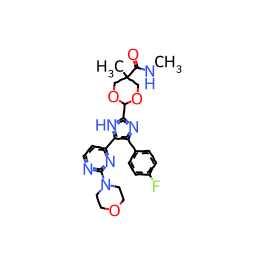 CNC(=O)C1(C)COC(c2nc(-c3ccc(F)cc3)c(-c3ccnc(N4CCOCC4)n3)[nH]2)OC1